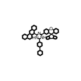 c1ccc(-c2ccc(C3NC(c4ccc5c(c4)C4(c6ccccc6O5)c5ccccc5-c5ccccc54)=NC(c4c5ccccc5cc5c4ccc4ccccc45)N3)cc2)cc1